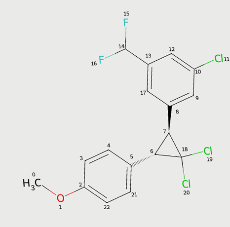 COc1ccc([C@@H]2[C@@H](c3cc(Cl)cc(C(F)F)c3)C2(Cl)Cl)cc1